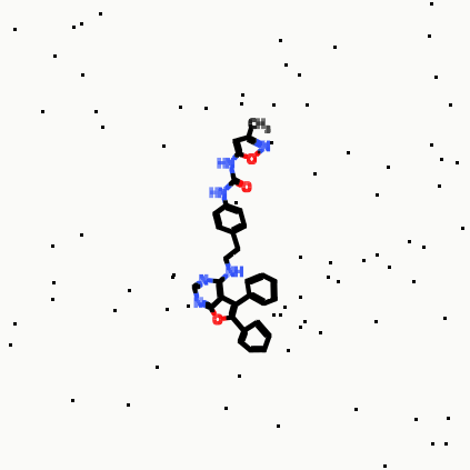 Cc1cc(NC(=O)Nc2ccc(CCNc3ncnc4oc(-c5ccccc5)c(-c5ccccc5)c34)cc2)on1